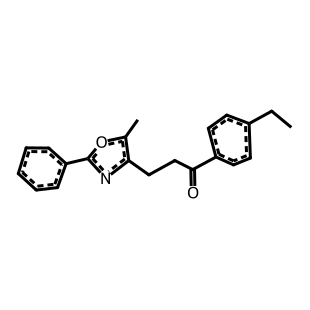 CCc1ccc(C(=O)CCc2nc(-c3ccccc3)oc2C)cc1